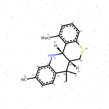 COc1cccc2c1[C@H]1Nc3cc(C#N)ccc3C(C)(C)[C@H]1CS2